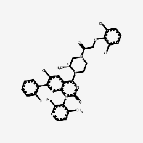 Cc1ccnc(C(C)C)c1-n1c(=O)nc(N2CCN(C(=O)COc3c(Cl)cccc3Cl)C[C@@H]2C)c2cc(Cl)c(-c3ccccc3F)nc21